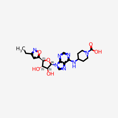 CCc1cc([C@H]2O[C@@H](n3cnc4c(NC5CCN(C(=O)O)CC5)ncnc43)[C@@H](O)[C@@H]2O)on1